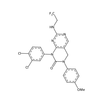 COc1ccc(N2Cc3cnc(NCC(F)(F)F)nc3N(c3ccc(Cl)c(Cl)c3)C2=O)cc1